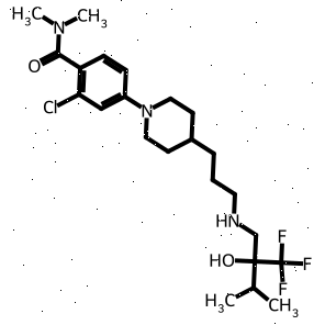 CC(C)C(O)(CNCCCC1CCN(c2ccc(C(=O)N(C)C)c(Cl)c2)CC1)C(F)(F)F